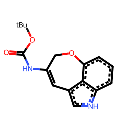 CC(C)(C)OC(=O)NC1=Cc2c[nH]c3cccc(c23)OC1